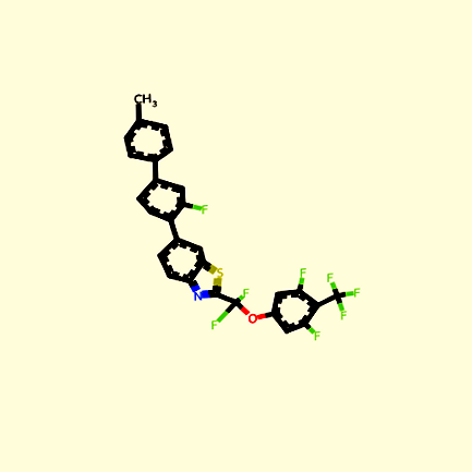 Cc1ccc(-c2ccc(-c3ccc4nc(C(F)(F)Oc5cc(F)c(C(F)(F)F)c(F)c5)sc4c3)c(F)c2)cc1